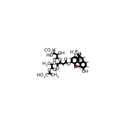 CC(OC(=O)C(CC(=O)OC1=CC[C@@]2(O)[C@H]3Cc4ccc(O)c5c4[C@@]2(CCN3C)[C@H]1O5)OC(=O)[C@H](O)[C@@H](O)C(=O)O)C(=O)O[C@@H](C)C(=O)O